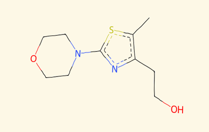 Cc1sc(N2CCOCC2)nc1CCO